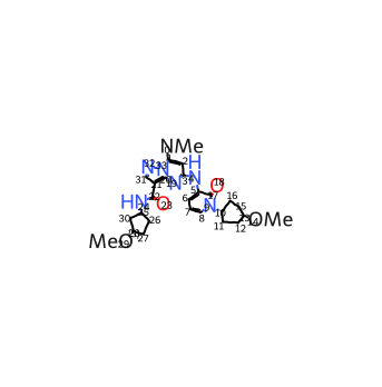 CNc1cc(Nc2cccn([C@H]3CC[C@H](OC)CC3)c2=O)nc2c(C(=O)NC3CC[C@H](OC)C3)cnn12